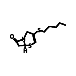 CCCCCSC1=CS[C@@H]2CC(=O)N2C1